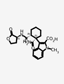 Cn1c(C(=O)O)c([C@]2(C(N)=O)CCCC[C@H]2C(=O)N[C@H]2CCOC2=O)c2ccccc21